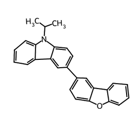 CC(C)n1c2ccccc2c2cc(-c3ccc4oc5ccccc5c4c3)ccc21